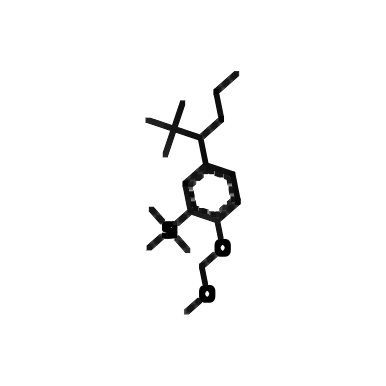 CCCC(c1ccc(OCOC)c([Si](C)(C)C)c1)C(C)(C)C